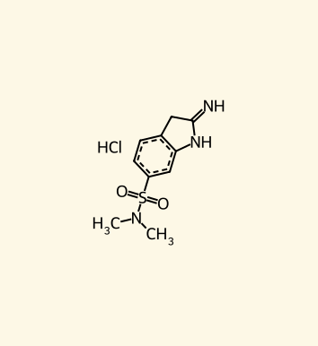 CN(C)S(=O)(=O)c1ccc2c(c1)NC(=N)C2.Cl